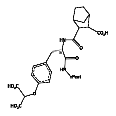 CCCCCNC(=O)[C@H](Cc1ccc(OC(C(=O)O)C(=O)O)cc1)NC(=O)C1C2CCC(C2)C1C(=O)O